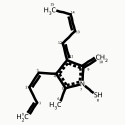 C=C/C=C\c1c(C)n(S)c(=C)/c1=C\C=C/C